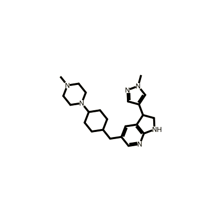 CN1CCN(C2CCC(Cc3cnc4c(c3)C(c3cnn(C)c3)CN4)CC2)CC1